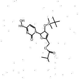 CC(C)C(=O)OCC1=CC(O[Si](C)(C)C(C)(C)C)C(n2ccc(NO)nc2=O)O1